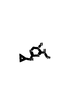 CC(C)NC1=NC(NC2CC2)=NCN1Cl